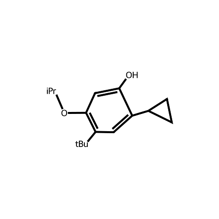 CC(C)Oc1cc(O)c(C2CC2)cc1C(C)(C)C